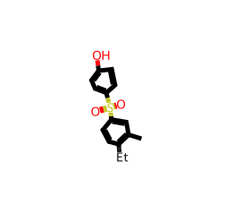 CCc1ccc(S(=O)(=O)c2ccc(O)cc2)cc1C